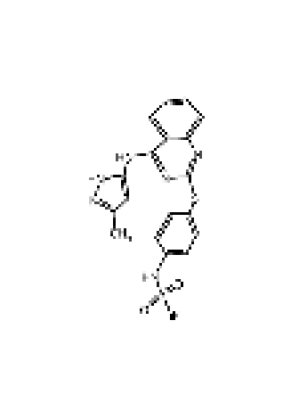 Cc1cc(Nc2nc(Sc3ccc(NS(=O)(=O)C(C)C)cc3)nc3ccccc23)[nH]n1